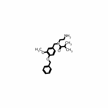 COc1cc(CN(CCN)C(=O)C(C)C)ccc1OCc1ccccc1